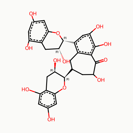 O=C1c2c(O)c(O)cc([C@H]3Oc4cc(O)cc(O)c4C[C@H]3O)c2CC([C@H]2Oc3cc(O)cc(O)c3C[C@H]2O)CC1O